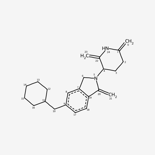 C=C1CCC(N2Cc3cc(CC4CCCCC4)ccc3C2=C)C(=C)N1